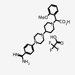 COc1ccccc1C(C(=O)O)N1CCC(N2CCN(c3ccc(C(=N)N)cc3)CC2)CC1.O=C(O)C(F)(F)F